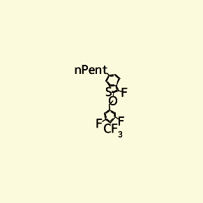 CCCCCc1ccc2c(F)c(OCc3cc(F)c(C(F)(F)F)c(F)c3)sc2c1